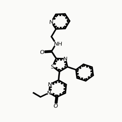 CCn1nc(-c2sc(C(=O)NCc3ccccn3)nc2-c2ccccc2)ccc1=O